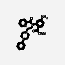 COC(=O)c1ccc(N)cc1N(CCN1CCN(c2ccccc2)CC1)C(=O)c1ccccn1